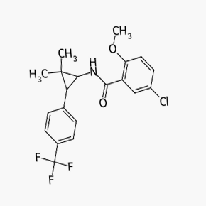 COc1ccc(Cl)cc1C(=O)NC1C(c2ccc(C(F)(F)F)cc2)C1(C)C